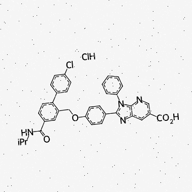 CC(C)NC(=O)c1ccc(-c2ccc(Cl)cc2)c(COc2ccc(-c3nc4cc(C(=O)O)cnc4n3-c3ccccc3)cc2)c1.Cl